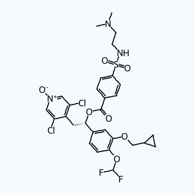 CN(C)CCNS(=O)(=O)c1ccc(C(=O)O[C@@H](Cc2c(Cl)c[n+]([O-])cc2Cl)c2ccc(OC(F)F)c(OCC3CC3)c2)cc1